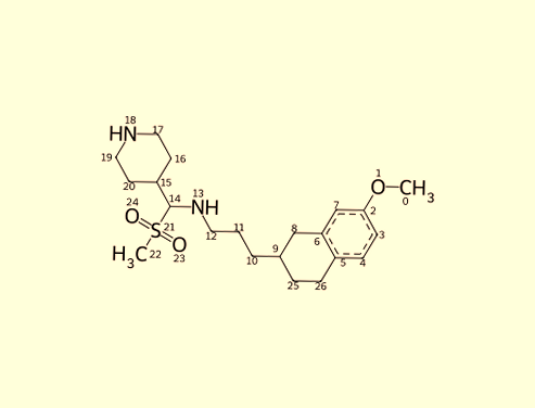 COc1ccc2c(c1)CC(CCCNC(C1CCNCC1)S(C)(=O)=O)CC2